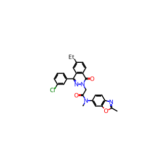 CCc1ccc2c(=O)n(CC(=O)N(C)c3ccc4nc(C)oc4c3)nc(-c3cccc(Cl)c3)c2c1